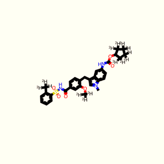 [2H]C([2H])([2H])Oc1cc(C(=O)NS(=O)(=O)c2ccccc2C([2H])([2H])[2H])ccc1Cc1cn(C)c2ccc(NC(=O)OC3C([2H])([2H])C([2H])([2H])C([2H])([2H])C3([2H])[2H])cc12